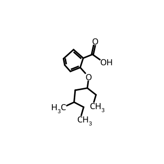 CCC(C)CC(CC)Oc1ccccc1C(=O)O